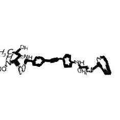 C[C@@H](O)[C@H](NC(=O)c1ccc(C#Cc2ccc(NC(=O)CNc3ccccn3)cc2)cc1)C(=O)NO